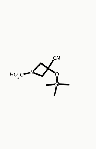 C[Si](C)(C)OC1(C#N)CN(C(=O)O)C1